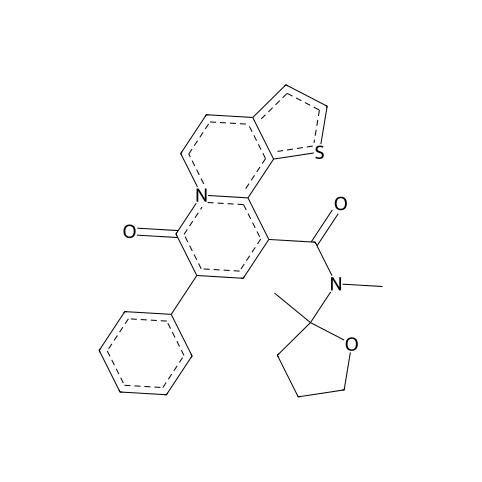 CN(C(=O)c1cc(-c2ccccc2)c(=O)n2ccc3ccsc3c12)C1(C)CCCO1